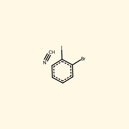 Brc1ccccc1I.C#N